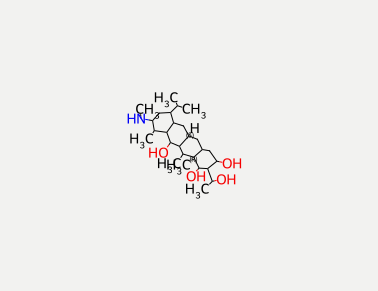 CNC1CC(C(C)C)C2C[C@H]3CC4CC(O)C(C(C)O)C(O)[C@@]4(C)C(C)C3C(O)C2C1C